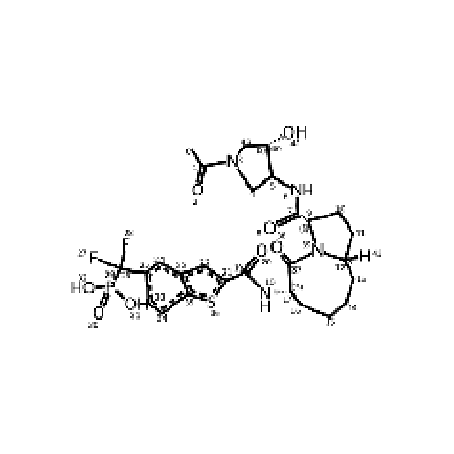 CC(=O)N1CC(NC(=O)[C@@H]2CC[C@@H]3CCCC[C@H](NC(=O)c4cc5cc(C(F)(F)P(=O)(O)O)ccc5s4)C(=O)N32)[C@@H](O)C1